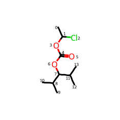 CC(Cl)OC(=O)OC(C(C)C)C(C)C